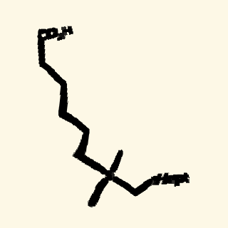 CCCCCCCC[Si](C)(C)CCCCCC(=O)O